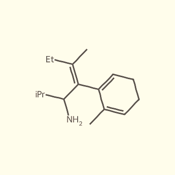 CC/C(C)=C(/C1=CCCC=C1C)C(N)C(C)C